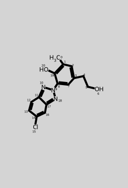 Cc1cc(CCO)cc(-n2nc3ccc(Cl)cc3n2)c1O